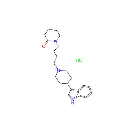 Cl.O=C1CCCCN1CCCCN1CCC(c2c[nH]c3ccccc23)CC1